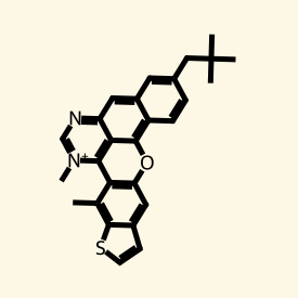 Cc1c2c(cc3ccsc13)Oc1c3ccc(CC(C)(C)C)cc3cc3nc[n+](C)c-2c13